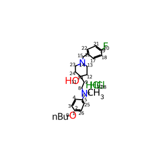 CCCCOc1ccc(N(C)CCC2(O)CCN(Cc3ccc(F)cc3)CC2)cc1.Cl.Cl